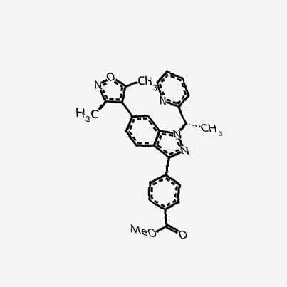 COC(=O)c1ccc(-c2nn([C@@H](C)c3ccccn3)c3cc(-c4c(C)noc4C)ccc23)cc1